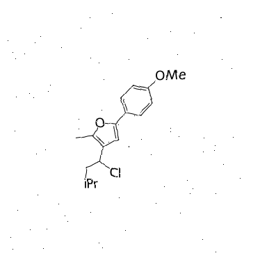 COc1ccc(-c2cc(C(Cl)CC(C)C)c(C)o2)cc1